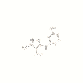 CCOC(=O)c1c(Nc2cccc(SC)c2)n[nH]c1C